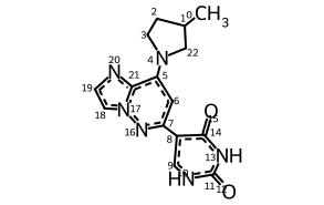 CC1CCN(c2cc(-c3c[nH]c(=O)[nH]c3=O)nn3ccnc23)C1